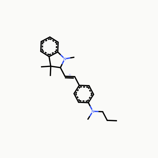 CCCN(C)c1ccc(/C=C/C2N(C)c3ccccc3C2(C)C)cc1